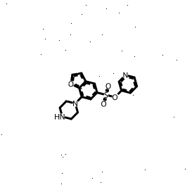 O=S(=O)(Oc1cccnc1)c1cc(N2CCNCC2)c2occc2c1